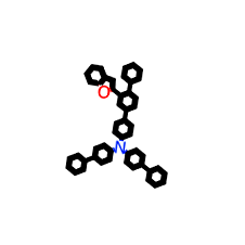 c1ccc(-c2ccc(N(c3ccc(-c4ccccc4)cc3)c3ccc(-c4ccc(-c5ccccc5)c(-c5cc6ccccc6o5)c4)cc3)cc2)cc1